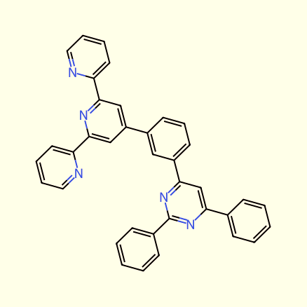 c1ccc(-c2cc(-c3cccc(-c4cc(-c5ccccn5)nc(-c5ccccn5)c4)c3)nc(-c3ccccc3)n2)cc1